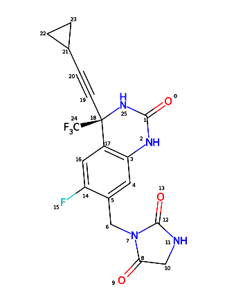 O=C1Nc2cc(CN3C(=O)CNC3=O)c(F)cc2[C@@](C#CC2CC2)(C(F)(F)F)N1